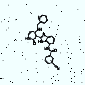 N#Cc1cccc(C(=O)Nc2cccc3nc(-c4c(NCc5ccccn5)cc[nH]c4=O)[nH]c23)c1